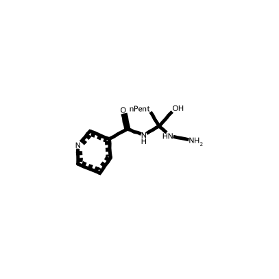 CCCCCC(O)(NN)NC(=O)c1cccnc1